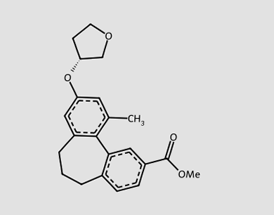 COC(=O)c1ccc2c(c1)-c1c(C)cc(O[C@@H]3CCOC3)cc1CCC2